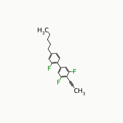 CC#Cc1c(F)cc(-c2ccc(CCCCC)cc2F)cc1F